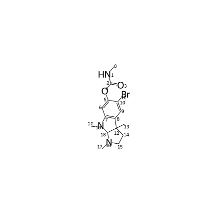 CNC(=O)Oc1cc2c(cc1Br)C1(C)CCN(C)C1N2C